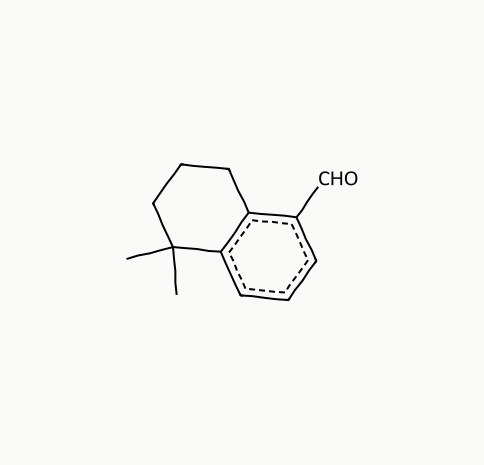 CC1(C)CCCc2c(C=O)cccc21